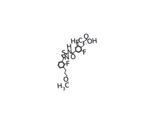 CCOCCCc1cccc(-c2csc(NC(=O)c3cc(F)c(/C=C(\C)C(=O)O)c(F)c3)n2)c1F